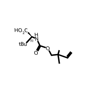 C=CC(C)(C)COC(=O)N[C@H](C(=O)O)C(C)(C)C